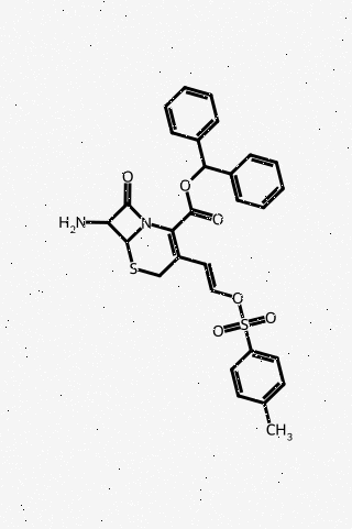 Cc1ccc(S(=O)(=O)OC=CC2=C(C(=O)OC(c3ccccc3)c3ccccc3)N3C(=O)C(N)C3SC2)cc1